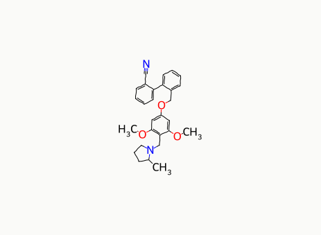 COc1cc(OCc2ccccc2-c2ccccc2C#N)cc(OC)c1CN1CCCC1C